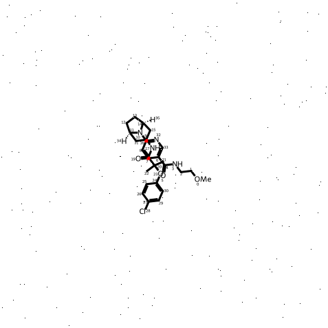 COCCNC(=O)c1ccc(N2[C@@H]3CC[C@H]2C[C@@H](NC(=O)C(C)(C)Oc2ccc(Cl)cc2)C3)nc1